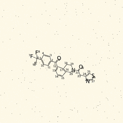 O=C(c1ccc(C(F)(F)F)cc1)c1cccc2c1CCN(C(=O)Cc1cscn1)C2